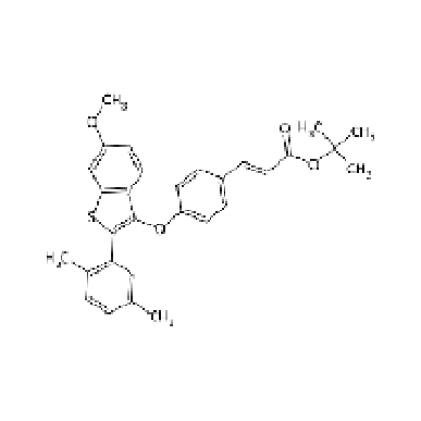 COc1ccc2c(Oc3ccc(/C=C/C(=O)OC(C)(C)C)cc3)c(-c3cc(C)ccc3C)sc2c1